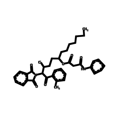 CCCCCCCC(CCC(Cl)C(C(=O)c1ccccc1C)N1C(=O)c2ccccc2C1=O)OC(=O)CC(=O)Nc1ccccc1